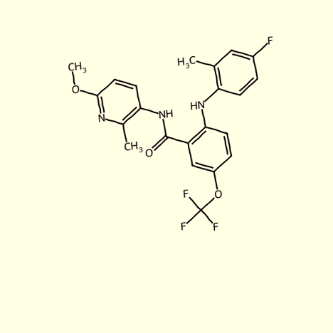 COc1ccc(NC(=O)c2cc(OC(F)(F)F)ccc2Nc2ccc(F)cc2C)c(C)n1